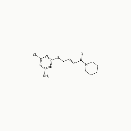 Nc1cc(Cl)nc(SCC=CC(=O)N2CCCCC2)n1